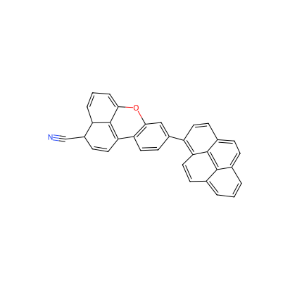 N#CC1C=CC2=C3C(=CC=CC31)Oc1cc(-c3ccc4ccc5cccc6ccc3c4c56)ccc12